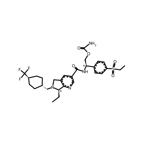 CC[C@@H]1c2ncc(C(=O)N[C@@H](COC(N)=O)c3ccc(S(=O)(=O)CC)cc3)cc2CN1C[C@H]1CC[C@H](C(F)(F)F)CC1